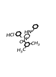 Cc1cc(C)cc(C(=O)N2CC[C@@H](NCc3ccccc3)C[C@H]2Cc2ccccc2)c1.Cl